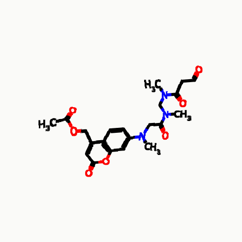 CC(=O)OCc1cc(=O)oc2cc(N(C)CC(=O)N(C)CN(C)C(=O)CC=O)ccc12